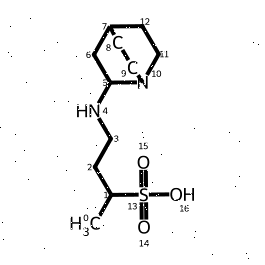 CC(CCNC1CC2CCN1CC2)S(=O)(=O)O